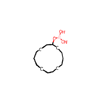 OB(O)OC1CCCCCCCCCCCCC1